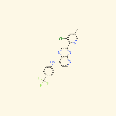 Cc1cnc(-c2cnc3c(Nc4ccc(C(F)(F)F)cc4)ccnc3n2)c(Cl)c1